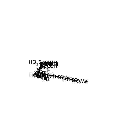 CCCCc1nc2c(NC(=O)OCc3ccc(O[C@H]4O[C@H](CO)[C@@H](O)[C@H](O)[C@@H]4O)cc3)nc3cc(C(=O)O)ccc3c2n1Cc1ccc(CC(c2ccc(O[C@H]3O[C@H](CO)[C@@H](O)[C@H](O)[C@@H]3O)c(NC(=O)CCNC(=O)[C@H](CCCCNC(=O)CCOCCOCCOCCOCCOCCOCCOCCOCCOCCOCCOCCOC)NC(=O)CCN3C(=O)C=CC3=O)c2)N(C)C)cc1